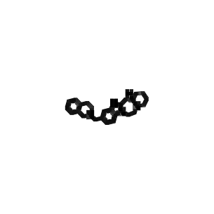 c1ccc2c(c1)CCN(Cc1ccc3c(c1)nc1n3CCN3CCCC[C@H]3C1)C2